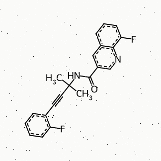 CC(C)(C#Cc1ccccc1F)NC(=O)c1cnc2c(F)cccc2c1